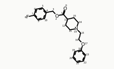 O=C(OCc1ccc(F)cc1)C1CCN(CCOc2ccccc2)CC1